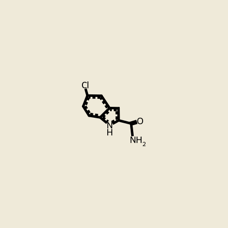 NC(=O)c1cc2cc(Cl)ccc2[nH]1